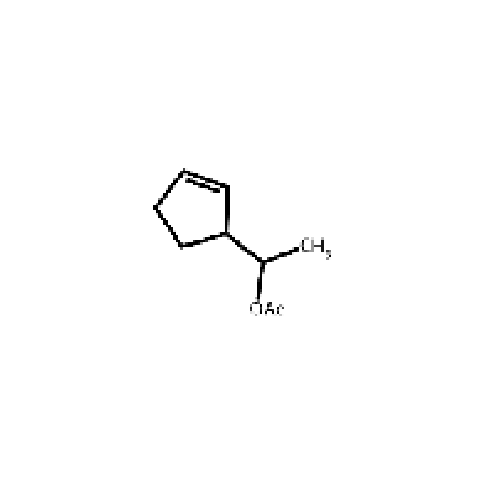 CC(=O)OC(C)C1C=CCC1